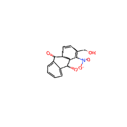 O=C1c2ccccc2C(=O)c2c1ccc(CO)c2[N+](=O)[O-]